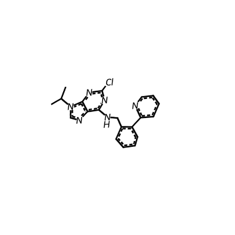 CC(C)n1cnc2c(NCc3ccccc3-c3ccccn3)nc(Cl)nc21